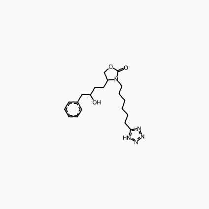 O=C1OCC(CCC(O)Cc2ccccc2)N1CCCCCCc1nnn[nH]1